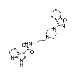 O=S(=O)(NCCCN1CCN(c2noc3ccccc23)CC1)c1c[nH]c2ncccc12